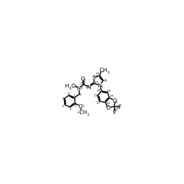 COc1ccccc1CN(C)C(=O)N=c1sc(C)cn1-c1ccc2c(c1)OC(F)(F)O2